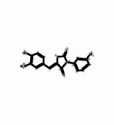 O=C1/C(=C/c2ccc(O)c([N+](=O)[O-])c2)SC(=S)N1c1cccc(C(F)(F)F)c1